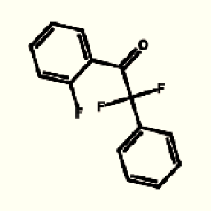 O=C(c1ccccc1F)C(F)(F)c1ccccc1